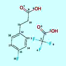 O=C(O)C(F)(F)F.O=C(O)CCc1ccc(F)cc1